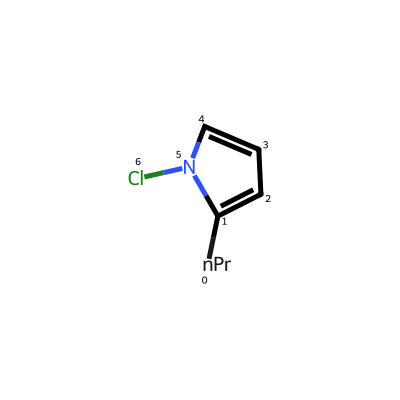 CCCc1cccn1Cl